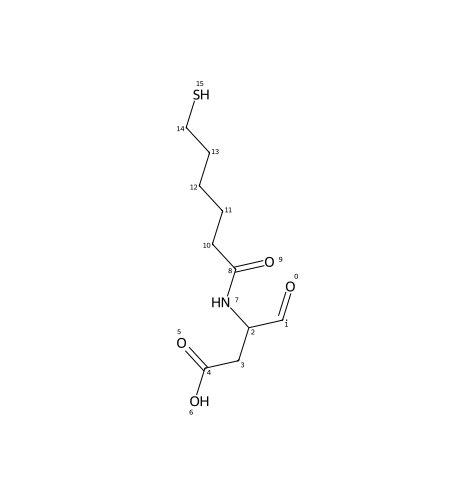 O=[C]C(CC(=O)O)NC(=O)CCCCCS